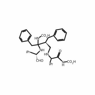 CC(C)C(NC[C@H](Cc1ccccc1)C(Cc1ccccc1)(NC(=O)O)N[C@H](C=O)C(C)C)C(=O)NC(=O)O